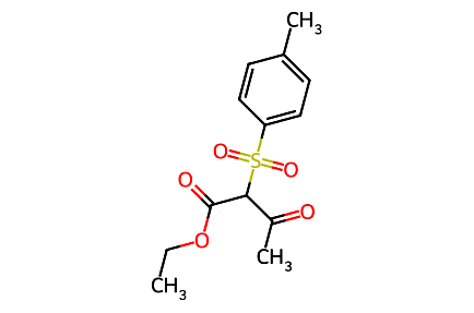 CCOC(=O)C(C(C)=O)S(=O)(=O)c1ccc(C)cc1